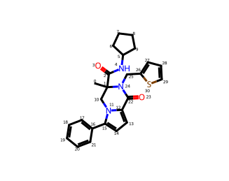 CC1(C(=O)NC2CCCC2)Cn2c(ccc2-c2ccccc2)C(=O)N1Cc1cccs1